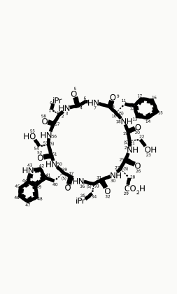 CC(C)C[C@@H]1NC(=O)CNC(=O)[C@H](Cc2ccccc2)NC(=O)[C@H](CO)NC(=O)[C@H](CC(=O)O)NC(=O)[C@H](CC(C)C)NC(=O)[C@H](Cc2c[nH]c3ccccc23)NC(=O)[C@H](CO)NC1=O